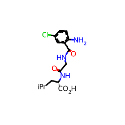 CC(C)C[C@H](NC(=O)CNC(=O)c1cc(Cl)ccc1N)C(=O)O